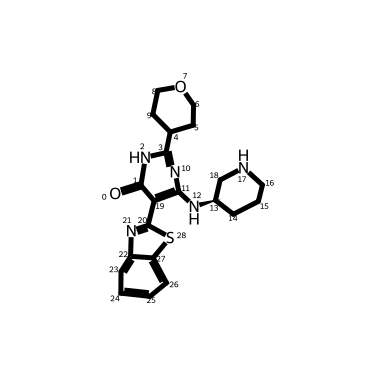 O=c1[nH]c(C2CCOCC2)nc(N[C@@H]2CCCNC2)c1-c1nc2ccccc2s1